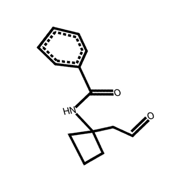 O=CCC1(NC(=O)c2ccccc2)CCC1